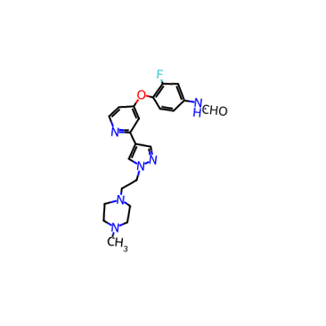 CN1CCN(CCn2cc(-c3cc(Oc4ccc(NC=O)cc4F)ccn3)cn2)CC1